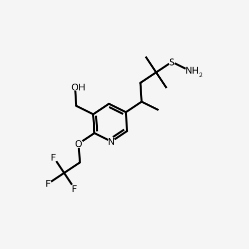 CC(CC(C)(C)SN)c1cnc(OCC(F)(F)F)c(CO)c1